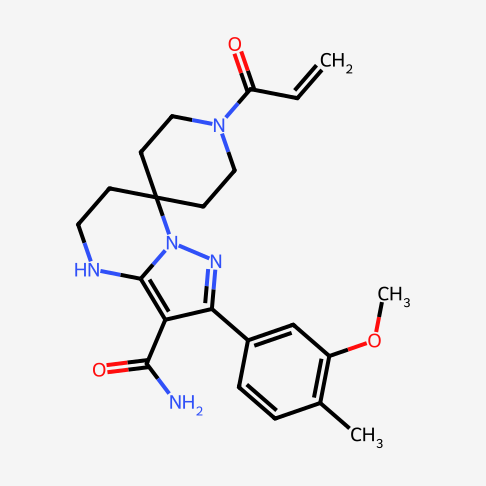 C=CC(=O)N1CCC2(CCNc3c(C(N)=O)c(-c4ccc(C)c(OC)c4)nn32)CC1